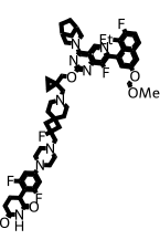 CCc1c(F)ccc2cc(OCOC)cc(-c3ncc4c(N5CC6CCC(C6)C5)nc(OCC5(CN6CCC7(CC6)CC(F)(CN6CCN(c8cc(F)c(C9CCC(=O)NC9=O)c(F)c8)CC6)C7)CC5)nc4c3F)c12